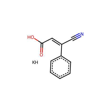 N#C/C(=C/C(=O)O)c1ccccc1.[KH]